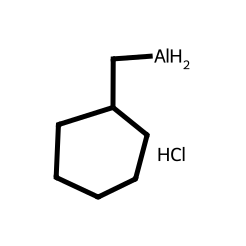 Cl.[AlH2][CH2]C1CCCCC1